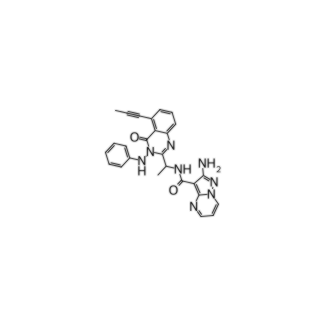 CC#Cc1cccc2nc(C(C)NC(=O)c3c(N)nn4cccnc34)n(Nc3ccccc3)c(=O)c12